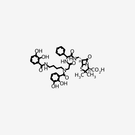 CC1(C)SC2[C@H](CNC(=O)[C@H](NC(=O)CN(CCCCNC(=O)c3cccc(O)c3O)C(=O)c3cccc(O)c3O)c3ccccc3)C(=O)N2[C@H]1C(=O)O